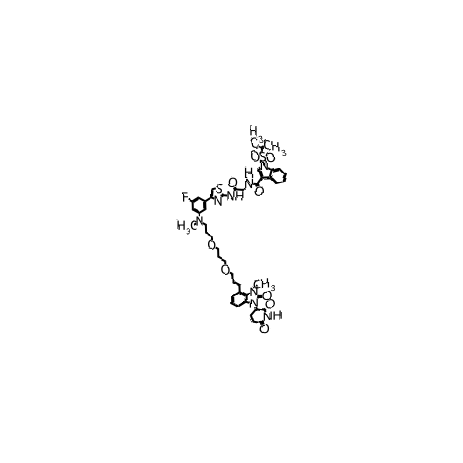 CC(C)S(=O)(=O)n1cc(C(=O)NCC(=O)Nc2nc(-c3cc(F)cc(N(C)CCCOCCCOCCCc4cccc5c4n(C)c(=O)n5C4CCC(=O)NC4=O)c3)cs2)c2ccccc21